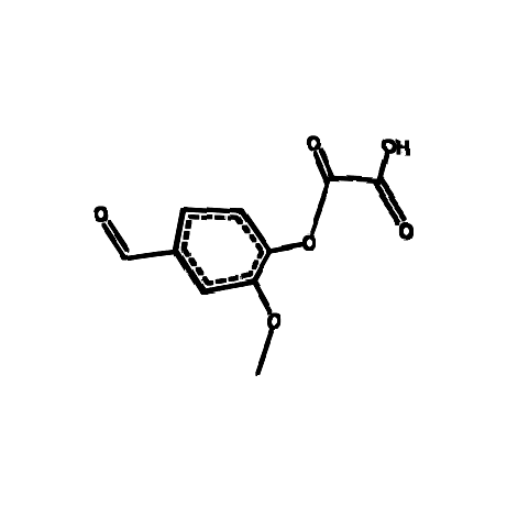 COc1cc(C=O)ccc1OC(=O)C(=O)O